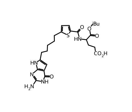 CCC(C)OC(=O)C(CCC(=O)O)NC(=O)c1ccc(CCCCCc2cc3c(=O)[nH]c(N)nc3[nH]2)s1